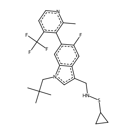 Cc1nccc(C(F)(F)F)c1-c1cc2c(cc1F)c(CNSC1CC1)cn2CC(C)(C)C